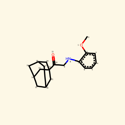 COc1ccccc1NCC(=O)C12CC3CC(CC(C3)C1)C2